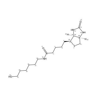 O=C(CCCC[C@@H]1SC[C@@H]2NC(=O)N[C@@H]21)NCCCCCCO